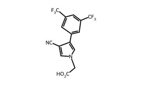 N#Cc1cn(CC(=O)O)cc1-c1cc(C(F)(F)F)cc(C(F)(F)F)c1